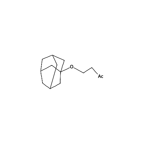 CC(=O)CCOC12CC3CC(CC(C3)C1)C2